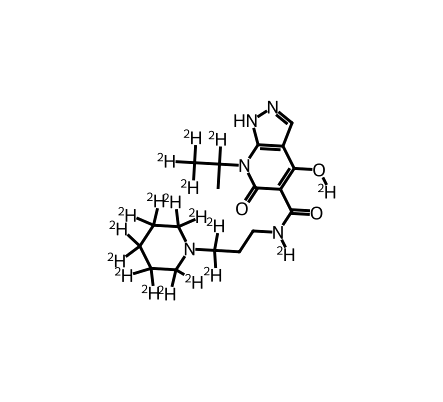 [2H]Oc1c(C(=O)N([2H])CCC([2H])([2H])N2C([2H])([2H])C([2H])([2H])C([2H])([2H])C([2H])([2H])C2([2H])[2H])c(=O)n(C([2H])(C)C([2H])([2H])[2H])c2[nH]ncc12